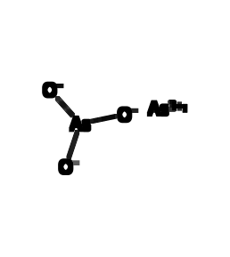 [As+3].[O-][As]([O-])[O-]